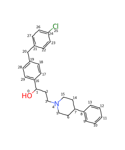 OC(CCN1CCC(c2ccccc2)CC1)c1ccc(Cc2ccc(Cl)cc2)cc1